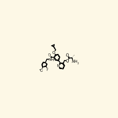 COc1ccc(CNC(=O)c2cc(-c3ncccc3COC(=O)[C@H](C)N)ccc2OCC2CC2)cc1F